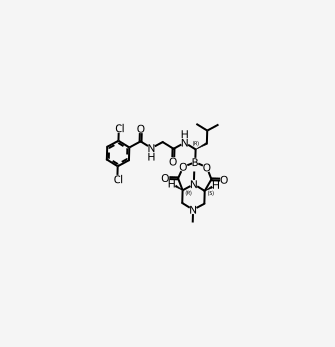 CC(C)C[C@H](NC(=O)CNC(=O)c1cc(Cl)ccc1Cl)B1OC(=O)[C@H]2CN(C)C[C@@H](C(=O)O1)N2C